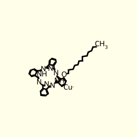 CCCCCCCCCCCCCCOc1cccc2c3nc4nc(nc5[nH]c(nc6nc(nc([nH]3)c12)-c1ccccc1-6)c1ccccc51)-c1ccccc1-4.[Cu]